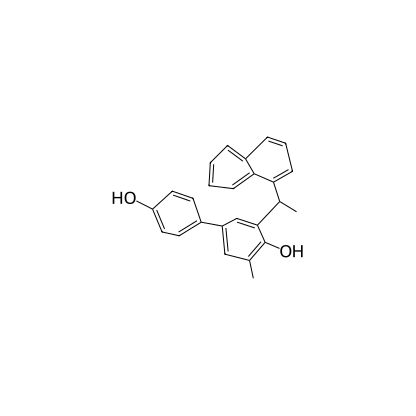 Cc1cc(-c2ccc(O)cc2)cc(C(C)c2cccc3ccccc23)c1O